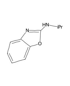 CC(C)Nc1nc2ccccc2o1